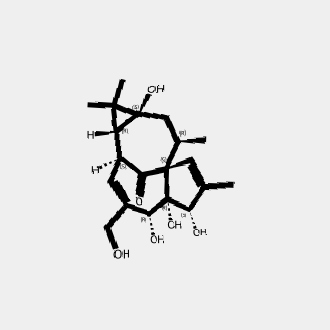 CC1=C[C@]23C(=O)[C@@H](C=C(CO)[C@@H](O)[C@]2(O)[C@H]1O)[C@@H]1C(C)(C)[C@]1(O)C[C@H]3C